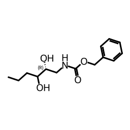 CCCC(O)[C@H](O)CNC(=O)OCc1ccccc1